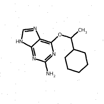 CC(Oc1nc(N)nc2[nH]cnc12)C1CCCCC1